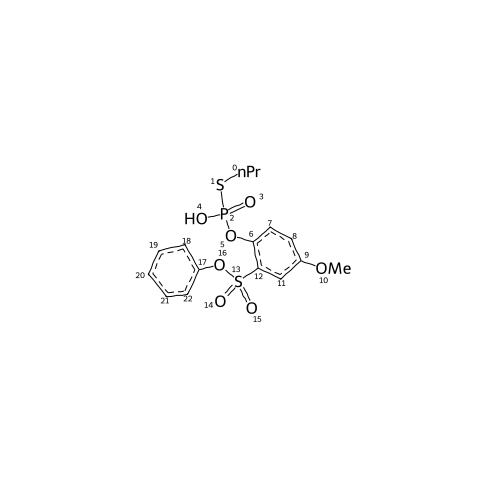 CCCSP(=O)(O)Oc1ccc(OC)cc1S(=O)(=O)Oc1ccccc1